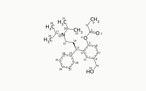 CCC(=O)Oc1ccc(CO)cc1[C@H](CCN(C(C)C)C(C)C)c1ccccc1